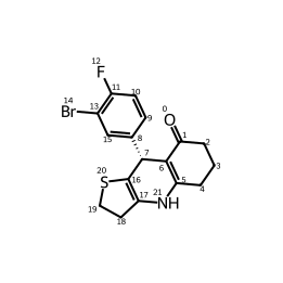 O=C1CCCC2=C1[C@@H](c1ccc(F)c(Br)c1)C1=C(CCS1)N2